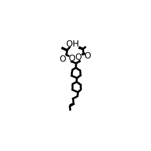 C=C(C)C(=O)OCC(COC(=O)C(=C)CO)C1CCC(C2CCC(CC/C=C/C)CC2)CC1